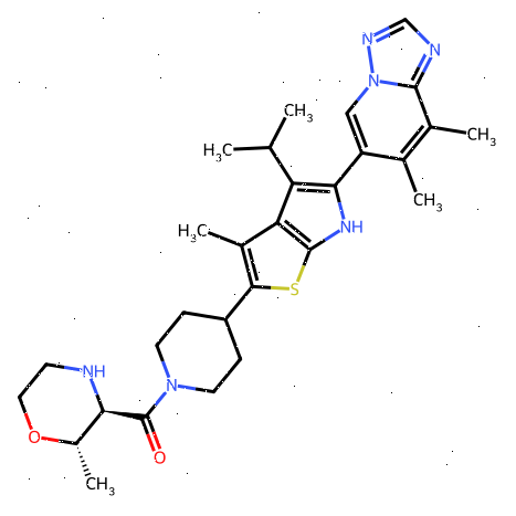 Cc1c(-c2[nH]c3sc(C4CCN(C(=O)[C@@H]5NCCO[C@H]5C)CC4)c(C)c3c2C(C)C)cn2ncnc2c1C